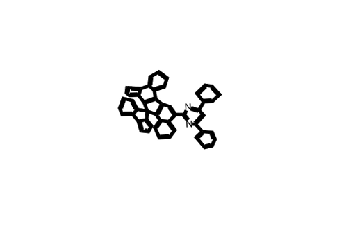 c1ccc(-c2cc(-c3ccccc3)nc(-c3cc4c(c5ccccc35)C3(c5ccccc5-c5ccccc53)c3c-4c4ccccc4c4ccccc34)n2)cc1